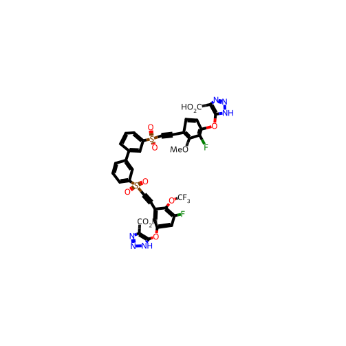 COc1c(C#CS(=O)(=O)c2cccc(-c3cccc(S(=O)(=O)C#Cc4cc(Oc5[nH]nnc5C(=O)O)cc(F)c4OC(F)(F)F)c3)c2)ccc(Oc2[nH]nnc2C(=O)O)c1F